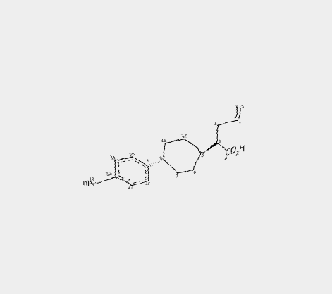 C=CCC(C(=O)O)[C@H]1CC[C@H](c2ccc(CCC)cc2)CC1